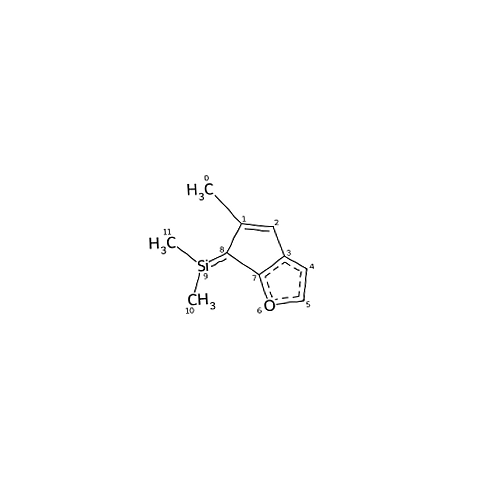 CC1=Cc2ccoc2C1=[Si](C)C